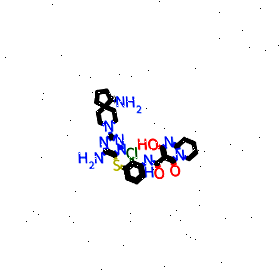 Nc1nc(N2CCC3(CCC[C@H]3N)CC2)nnc1Sc1cccc(NC(=O)c2c(O)nc3n(c2=O)CCCC3)c1Cl